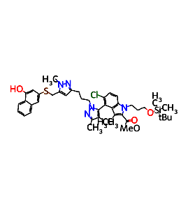 COC(=O)c1c(C)c2c(-c3c(C)c(C)nn3CCCc3cc(CSc4cc(O)c5ccccc5c4)n(C)n3)c(Cl)ccc2n1CCCO[Si](C)(C)C(C)(C)C